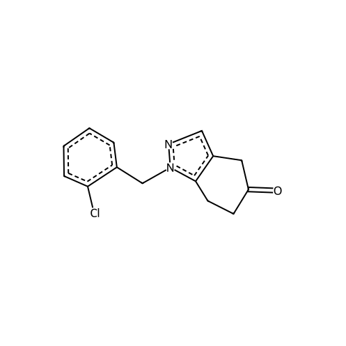 O=C1CCc2c(cnn2Cc2ccccc2Cl)C1